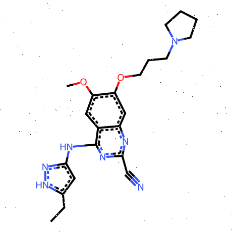 CCc1cc(Nc2nc(C#N)nc3cc(OCCCN4CCCC4)c(OC)cc23)n[nH]1